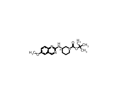 COc1ccc2nc(N[C@@H]3CCCN(C(=O)OC(C)(C)C)C3)ncc2c1